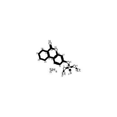 CCOP(=S)(OCC)Oc1ccc2c3c(c(=O)oc2c1)CCCC3.[SiH4]